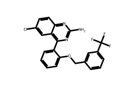 Nc1nc(-c2ccccc2OCc2cccc(C(F)(F)F)c2)c2cc(Cl)ccc2n1